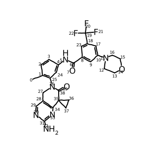 Cc1ccc(NC(=O)c2cc(N3CCOCC3)cc(C(F)(F)F)c2)cc1N1Cc2cnc(N)nc2C2(CC2)C1=O